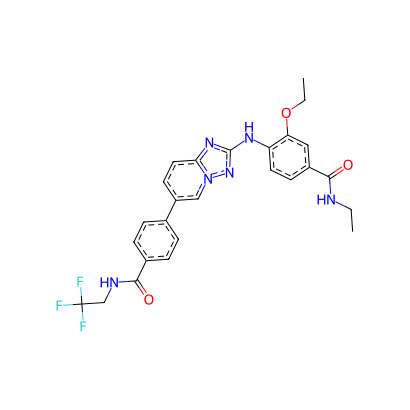 CCNC(=O)c1ccc(Nc2nc3ccc(-c4ccc(C(=O)NCC(F)(F)F)cc4)cn3n2)c(OCC)c1